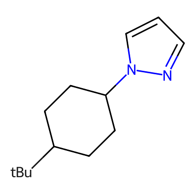 CC(C)(C)C1CCC(n2cccn2)CC1